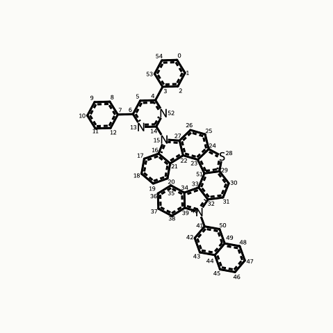 c1ccc(-c2cc(-c3ccccc3)nc(-n3c4ccccc4c4c5c(ccc43)sc3ccc4c(c6ccccc6n4-c4ccc6ccccc6c4)c35)n2)cc1